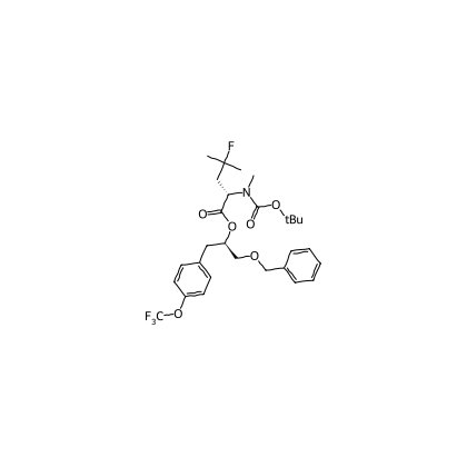 CN(C(=O)OC(C)(C)C)[C@@H](CC(C)(C)F)C(=O)O[C@@H](COCc1ccccc1)Cc1ccc(OC(F)(F)F)cc1